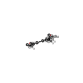 C[C@@H](C(=O)N1CCC[C@H]1c1nc(-c2ccc(C#Cc3ccc(-c4c[nH]c([C@H](C)N(C)C(=O)[C@H](NC(=O)OC(C)(C)C)c5ccccc5)n4)cc3)cc2)c[nH]1)c1ccccc1